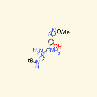 COc1cc(-c2ccc(/C(N)=C/C=C(\N)N3CCC(NC(C)(C)C)C3)c(O)c2)ncn1